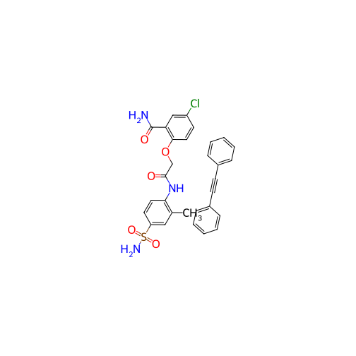 C(#Cc1ccccc1)c1ccccc1.Cc1cc(S(N)(=O)=O)ccc1NC(=O)COc1ccc(Cl)cc1C(N)=O